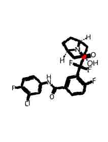 O=C(Nc1ccc(F)c(Cl)c1)c1ccc(F)c(C(F)(F)C(=O)N2[C@@H]3CC[C@H]2C[C@H](O)C3)c1